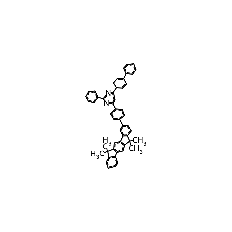 CC1(C)c2ccccc2-c2cc3c(cc21)-c1cc(-c2ccc(-c4cc(C5C=CC(c6ccccc6)=CC5)nc(-c5ccccc5)n4)cc2)ccc1C3(C)C